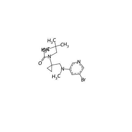 CN(CC1(N(CC(C)(C)C)C(=O)O)CC1)c1cncc(Br)c1